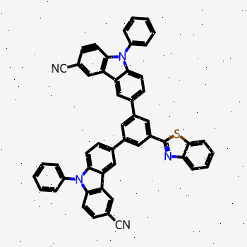 N#Cc1c#cc2c(c1)c1cc(-c3cc(-c4ccc5c(c4)c4cc(C#N)ccc4n5-c4ccccc4)cc(-c4nc5ccccc5s4)c3)ccc1n2-c1ccccc1